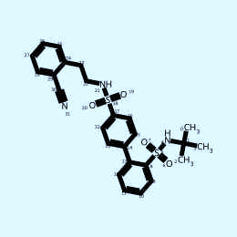 CC(C)(C)NS(=O)(=O)c1ccccc1-c1ccc(S(=O)(=O)NCCc2cc[c]cc2C#N)cc1